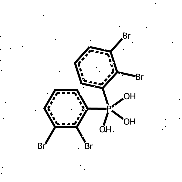 OP(O)(O)(c1cccc(Br)c1Br)c1cccc(Br)c1Br